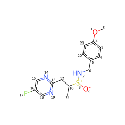 COc1ccc(CN[S+]([O-])C(C)Cc2ncc(F)cn2)cc1